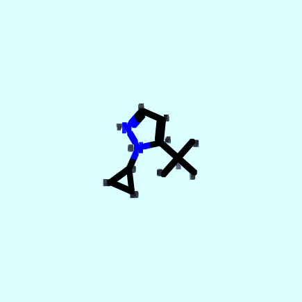 CC(C)(C)c1ccnn1C1CC1